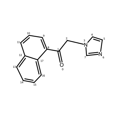 O=C(Cn1ccnc1)c1cccc2ccccc12